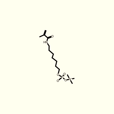 C=C(C)C(=O)NCCCCCCCOP(=O)([O-])O[N+](C)(C)C